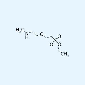 CCOS(=O)(=O)CCOCCNC